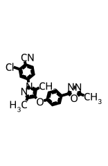 Cc1nnc(-c2ccc(Oc3c(C)nn(-c4ccc(C#N)c(Cl)c4)c3C)cc2)o1